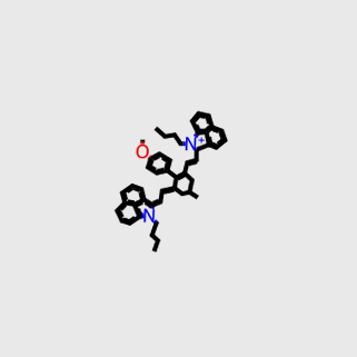 CCCCn1/c(=C/C=C2\CC(C)CC(/C=C/C3=[N+](CCCC)c4cccc5cccc3c45)=C2c2ccc(OC)cc2)c2cccc3cccc1c32